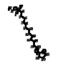 FC(F)(F)C(F)(F)CCCCCCCCCCCCCOC1CCCO1